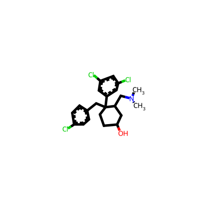 CN(C)CC1CC(O)CCC1(Cc1ccc(Cl)cc1)c1cc(Cl)cc(Cl)c1